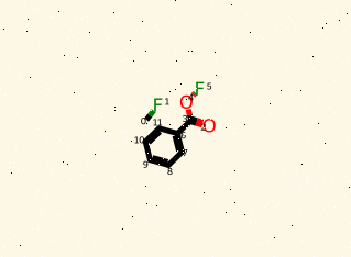 CF.O=C(OF)c1ccccc1